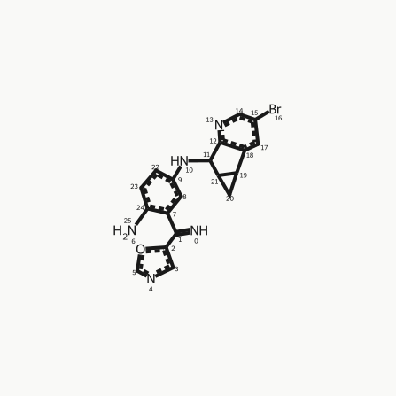 N=C(c1cnco1)c1cc(NC2c3ncc(Br)cc3C3CC32)ccc1N